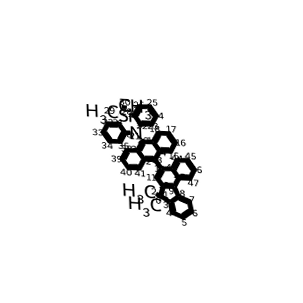 CC1(C)c2ccccc2-c2c1cc(-c1c3ccccc3c(N3c4ccccc4[Si](C)(C)c4ccccc43)c3ccccc13)c1ccccc21